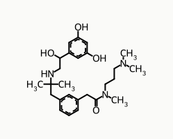 CN(C)CCCN(C)C(=O)Cc1cccc(CC(C)(C)NCC(O)c2cc(O)cc(O)c2)c1